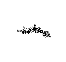 CO[C@@H]1[C@@H](O)[C@@H](O)[C@H](Oc2ccc3c(O)c(NC(=O)C4=CNC(C(=O)Nc5c(O)c6ccc(O[C@@H]7OC(C)(C)[C@H](OC)[C@@H](O)[C@H]7O)cc6oc5=O)C4C)c(=O)oc3c2)OC1(C)C